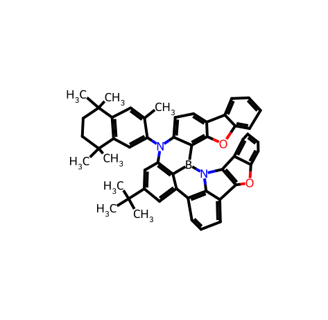 Cc1cc2c(cc1N1c3cc(C(C)(C)C)cc4c3B(c3c1ccc1c3oc3ccccc31)n1c3c-4cccc3c3oc4ccccc4c31)C(C)(C)CCC2(C)C